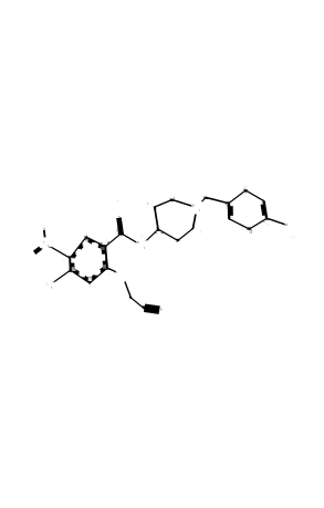 C#CCOc1cc(N)c([N+](=O)[O-])cc1C(=O)NC1CCN(CC2=CCC(C)=CC2)CC1